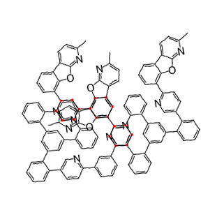 Cc1ccc2c(n1)oc1c(-c3ccc(-c4ccccc4-c4cc(-c5ccccc5-c5ccc(-c6cccc(-c7ccc(-c8ccccc8-c8cc(-c9ccccc9-c9ccc(-c%10cccc%11c%10oc%10nc(C)ccc%10%11)nc9)cc(-c9ccccc9-c9ccc(-c%10cccc%11c%10oc%10nc(C)ccc%10%11)nc9)c8)cn7)c6)nc5)cc(-c5ccccc5-c5ccc(-c6cccc7c6oc6nc(C)ccc67)nc5)c4)cn3)cccc12